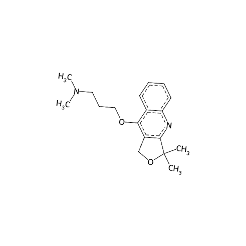 CN(C)CCCOc1c2c(nc3ccccc13)C(C)(C)OC2